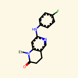 CCN1C(=O)CCc2cnc(Nc3ccc(F)cc3)cc21